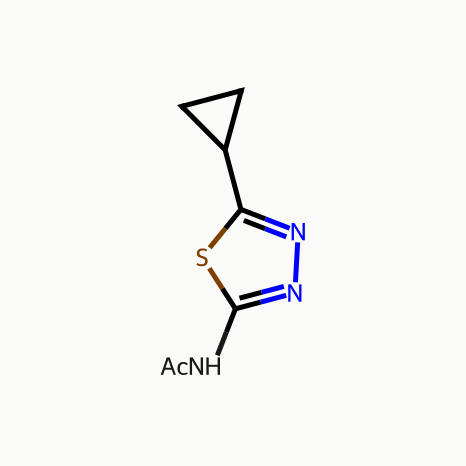 CC(=O)Nc1nnc(C2CC2)s1